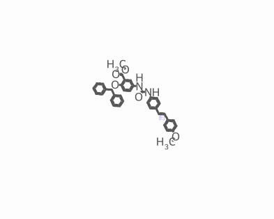 COC(=O)c1cc(NC(=O)Nc2ccc(/C=C/c3ccc(OC)cc3)cc2)ccc1OC(c1ccccc1)c1ccccc1